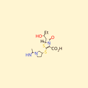 CC[C@H](O)[C@@H]1C(=O)N2C(C(=O)O)=C(SC3CCN(C(C)=N)C3)S[C@H]12